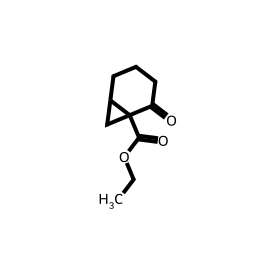 CCOC(=O)C12CC1CCCC2=O